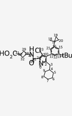 Cn1c(CC2CCCCC2)c(-c2cc(C(C)(C)C)cc(C3(C)CC3)c2)c(Cl)c1C(=O)NC1CC(C(=O)O)C1